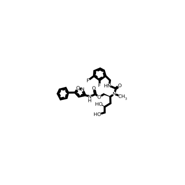 CN(C(=O)NCc1cccc(F)c1F)[C@H](COC(=O)Nc1cc(-c2ccccc2)on1)C[C@@H](O)CO